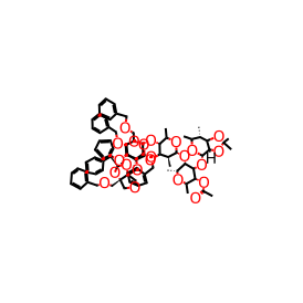 CC(=O)O[C@H]1C(C)O[C@H](C)[C@H](O[C@@H]2OC(C)[C@H](O[C@@H]3OC[C@@H](C)C(OC45COC[C@]4(COCc4ccccc4)O[C@@H](c4ccccc4)O5)[C@H]3OCc3ccccc3)C(O[C@@H]3OC(COCc4ccccc4)[C@@H](OCc4ccccc4)C(OCc4ccccc4)[C@H]3C)[C@@H]2C)C1O[C@@H]1OC(C)[C@H](C)C2OC(C)(C)O[C@@H]21